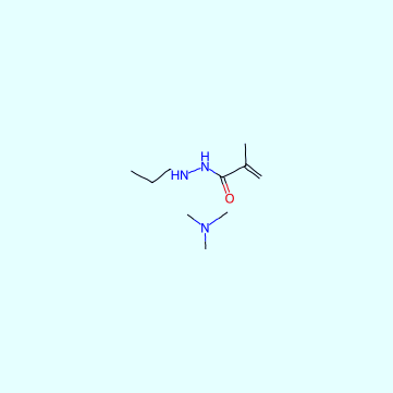 C=C(C)C(=O)NNCCC.CN(C)C